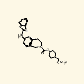 O=C(O)CC1CCC(OC(=O)N2CCc3cc(Nc4nc5ccccc5s4)ccc3C2)CC1